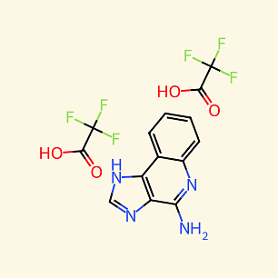 Nc1nc2ccccc2c2[nH]cnc12.O=C(O)C(F)(F)F.O=C(O)C(F)(F)F